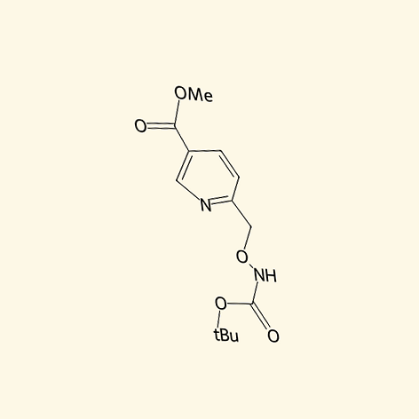 COC(=O)c1ccc(CONC(=O)OC(C)(C)C)nc1